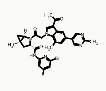 CC(=O)c1cn(CC(=O)N2[C@H](C(=O)Nc3cc(F)cc(Br)n3)C[C@@]3(C)C[C@@H]23)c2c(C)cc(-c3cnc(C)nc3)cc12